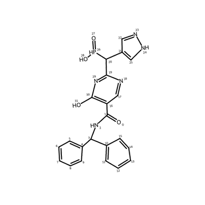 O=C(NC(c1ccccc1)c1ccccc1)c1cnc(C(c2cn[nH]c2)[PH](=O)O)nc1O